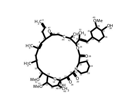 C=CCC1/C=C(/C)CC(C)CC(OC)C2OC(O)(C(=O)C(=O)N3CCCCC3C(=O)OC(/C(C)=C/C3CCC(O)C(OC)C3)C(C)CCC1=O)C(C)CC2OC